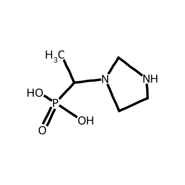 CC(N1CCNC1)P(=O)(O)O